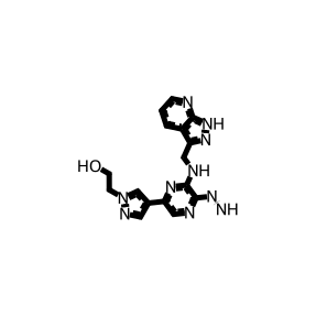 N=Nc1ncc(-c2cnn(CCO)c2)nc1NCc1n[nH]c2ncccc12